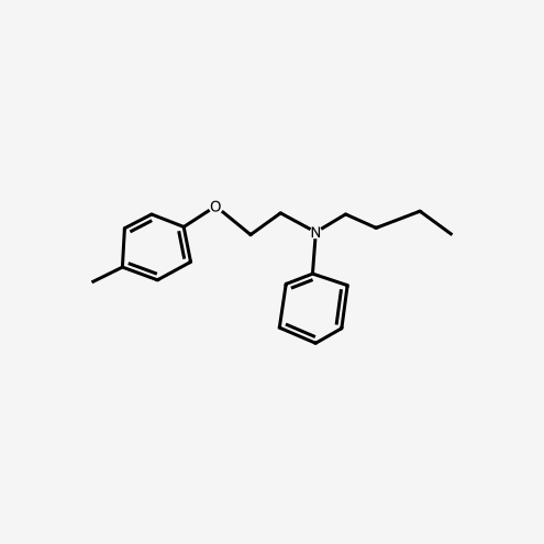 CCCCN(CCOc1ccc(C)cc1)c1ccccc1